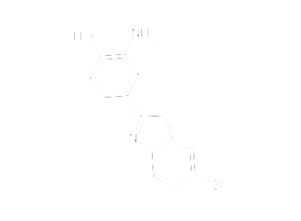 Nc1cc(-c2nc3ccc(Br)cc3s2)ccc1O